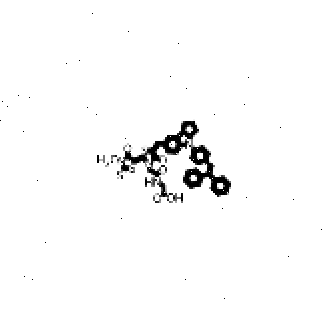 CN1C(=O)/C(=c2\s/c(=C/c3ccc4c(c3)C3CCCC3N4c3ccc(C=C(c4ccccc4)c4ccccc4)cc3)c(=O)n2CC(=O)NCC(=O)O)SC1=S